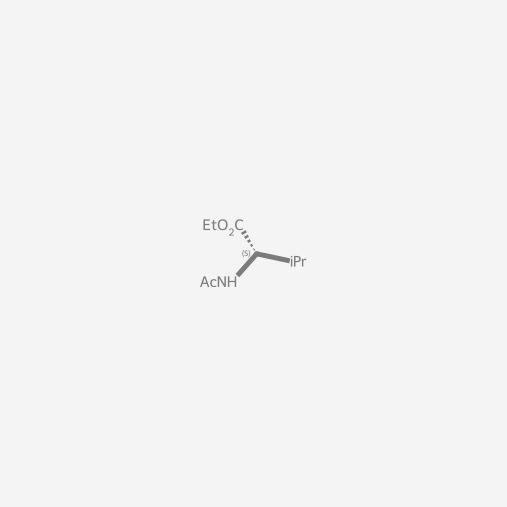 C[CH]OC(=O)[C@@H](NC(C)=O)C(C)C